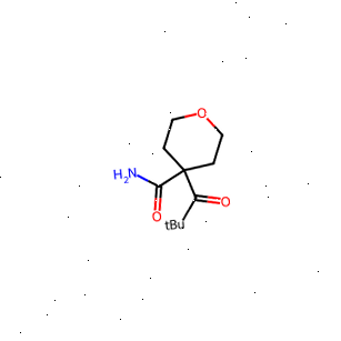 CC(C)(C)C(=O)C1(C(N)=O)CCOCC1